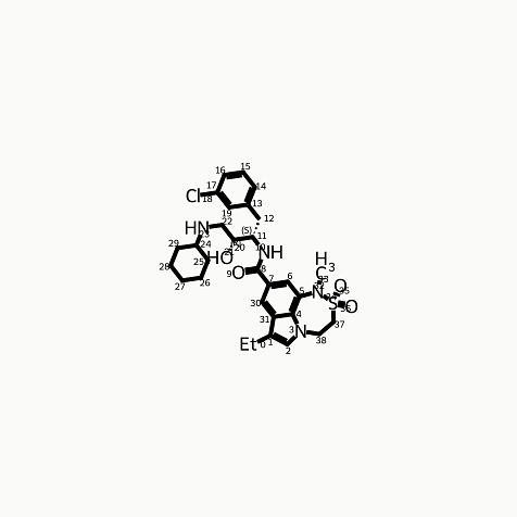 CCc1cn2c3c(cc(C(=O)N[C@@H](Cc4cccc(Cl)c4)[C@H](O)CNC4CCCCC4)cc13)N(C)S(=O)(=O)CC2